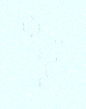 CC(=O)Nc1ccc(OC2CN3CCC2CC3)cc1.Cl